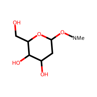 CNOC1CC(O)C(O)C(CO)O1